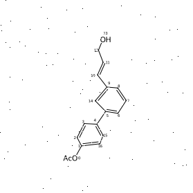 CC(=O)Oc1ccc(-c2cccc(C=CCO)c2)cc1